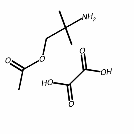 CC(=O)OCC(C)(C)N.O=C(O)C(=O)O